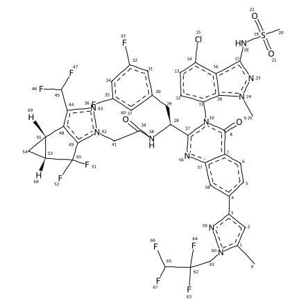 Cc1cc(-c2ccc3c(=O)n(-c4ccc(Cl)c5c(NS(C)(=O)=O)nn(C)c45)c([C@H](Cc4cc(F)cc(F)c4)NC(=O)Cn4nc(C(F)F)c5c4C(F)(F)[C@@H]4C[C@H]54)nc3c2)nn1CC(F)(F)C(F)F